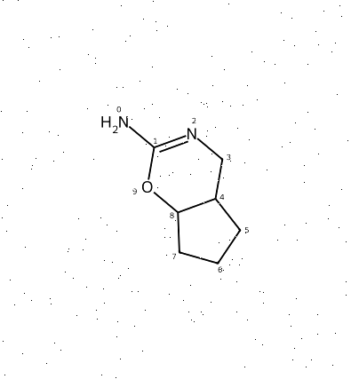 NC1=NCC2CCCC2O1